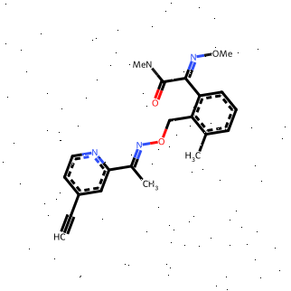 C#Cc1ccnc(/C(C)=N/OCc2c(C)cccc2/C(=N\OC)C(=O)NC)c1